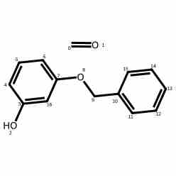 C=O.Oc1cccc(OCc2ccccc2)c1